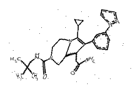 CC(C)(C)NC(=O)N1CCN2C(C3CC3)=C(c3cccc(-n4cccn4)c3)C(C(N)=O)C2C1